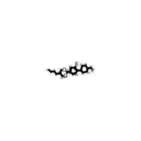 CCCCC1COC(c2ccc(C3CCC(CF)CC3)c(F)c2)OC1